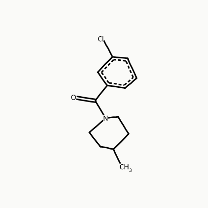 CC1CCN(C(=O)c2cccc(Cl)c2)CC1